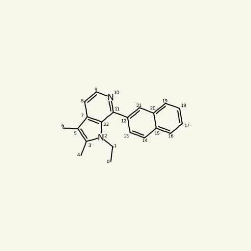 CCn1c(C)c(C)c2ccnc(-c3ccc4ccccc4c3)c21